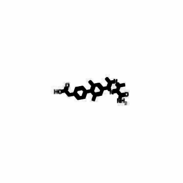 Cc1cc(-c2nc(C(N)=O)c(C)nc2C)cc(C)c1-c1ccc(CC(=O)O)cc1